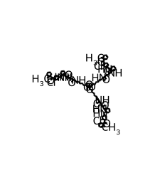 Cc1ccccc1C(=O)c1ccc(Nc2ccccc2NC(=O)CCC(=O)NCCCCCCOP(=O)(OCCCCCCNC(=O)CCC(=O)Nc2ccccc2Nc2ccc(C(=O)c3ccccc3C)c(Cl)c2)OCCCCCCNC(=O)CCC(=O)Nc2ccccc2Nc2ccc(C(=O)c3ccccc3C)c(Cl)c2)cc1Cl